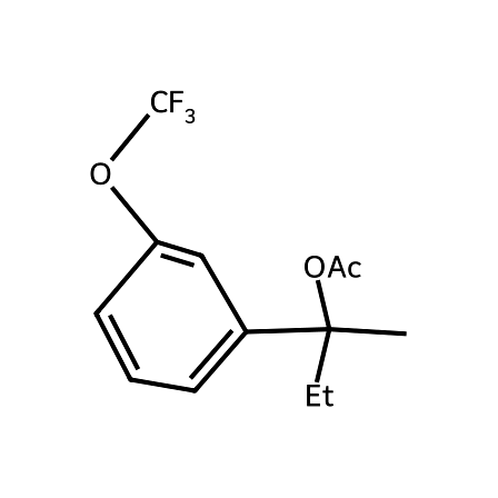 CCC(C)(OC(C)=O)c1cccc(OC(F)(F)F)c1